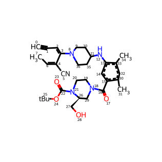 C#C/C=C(\C(C#N)=C/C)N1CCC(Nc2cc(C(=O)N3CCN(C(=O)OC(C)(C)C)[C@H](CO)C3)c(C)cc2C)CC1